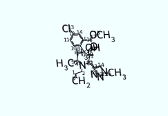 C=CCN1[C@@H](C)CC(O)(c2ccc(Cl)cc2C(OC)OC)C[C@H]1c1cn(C)nn1